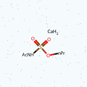 CCCOS(=O)(=O)NC(C)=O.[CaH2]